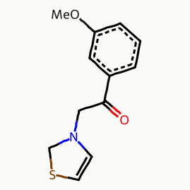 COc1cccc(C(=O)CN2C=CSC2)c1